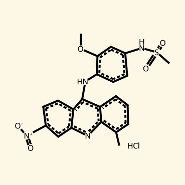 COc1cc(NS(C)(=O)=O)ccc1Nc1c2ccc([N+](=O)[O-])cc2nc2c(C)cccc12.Cl